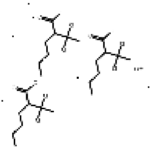 CCCCC(C(=O)[O-])C(C)(Cl)Cl.CCCCC(C(=O)[O-])C(C)(Cl)Cl.CCCCC(C(=O)[O-])C(C)(Cl)Cl.[Cr+3]